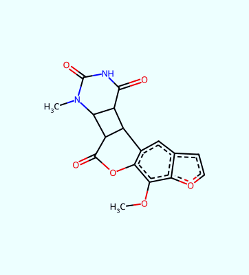 COc1c2c(cc3ccoc13)C1C3C(=O)NC(=O)N(C)C3C1C(=O)O2